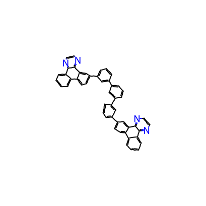 c1cc(-c2cccc(-c3ccc4c5ccccc5c5nccnc5c4c3)c2)cc(-c2cccc(-c3ccc4c5ccccc5c5nccnc5c4c3)c2)c1